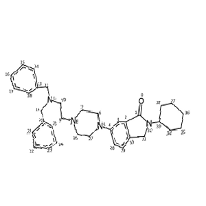 O=C1c2cc(N3CCN(CCN(Cc4ccccc4)Cc4ccccc4)CC3)ccc2CN1C1CCCCC1